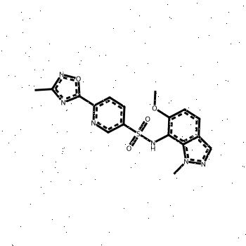 COc1ccc2cnn(C)c2c1NS(=O)(=O)c1ccc(-c2nc(C)no2)nc1